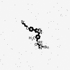 Cc1cc(-c2ncnn3cc(-c4ccc(OCCCCBr)cc4)cc23)ccc1CNC(=O)c1nc(C(C)(C)C)ns1